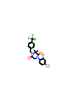 CC1(C)C(=O)N(c2ccc(Cl)cc2F)CC(=O)N1Cc1ccc(C(F)(F)F)cc1